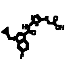 O=C(O)CSc1cnc(NC(=O)c2cn(CC3CC3)c3cc(F)ccc23)s1